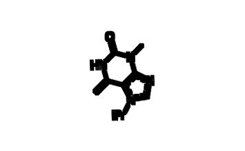 C=C1NC(=O)N(C)c2ncn(C(C)C)c21